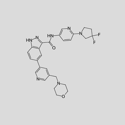 O=C(Nc1ccc(N2CCC(F)(F)C2)nc1)c1n[nH]c2ccc(-c3cncc(CN4CCOCC4)c3)cc12